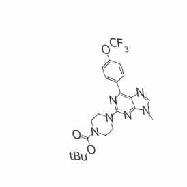 Cn1cnc2c(-c3ccc(OC(F)(F)F)cc3)nc(N3CCN(C(=O)OC(C)(C)C)CC3)nc21